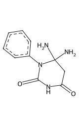 NC1(N)CC(=O)NC(=O)N1c1ccccc1